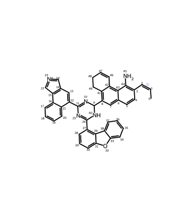 C/C=C\c1ccc2cc(C3N=C(c4cc5c(c6ccccc46)C=[N+]=C5)N=C(c4cccc5oc6ccccc6c45)N3)c3c(c2c1N)C=CCC3